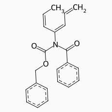 C=C/C=C(\C=C/C)N(C(=O)OCc1ccccc1)C(=O)c1ccccc1